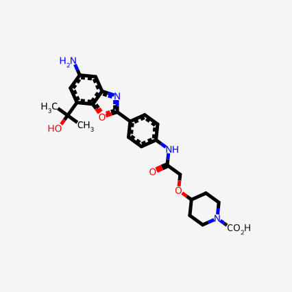 CC(C)(O)c1cc(N)cc2nc(-c3ccc(NC(=O)COC4CCN(C(=O)O)CC4)cc3)oc12